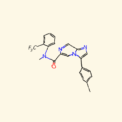 Cc1ccc(-c2cnc3cnc(C(=O)N(C)c4ccccc4C(F)(F)F)cn23)cc1